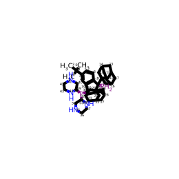 CC(C)(C)c1ccc(C(P)(C23CC4CC(CC(C4)C2)C3)C23CC4CC(CC(C4)C2)C3)c(CP(C2CNCCN2)C2CNCCN2)c1